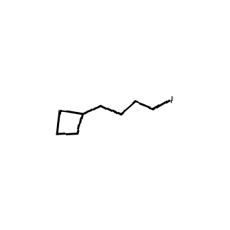 ICCCCC1CCC1